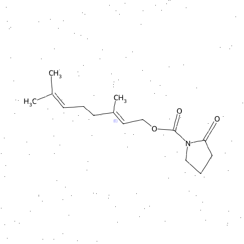 CC(C)=CCC/C(C)=C/COC(=O)N1CCCC1=O